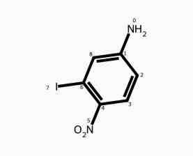 Nc1ccc([N+](=O)[O-])c(I)c1